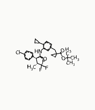 C[C@H]([C@H](C(=O)Nc1cc(CC2(C(=O)OC(C)(C)C)CC2)ccc1C1CC1)c1ccc(Cl)cc1)C(F)(F)F